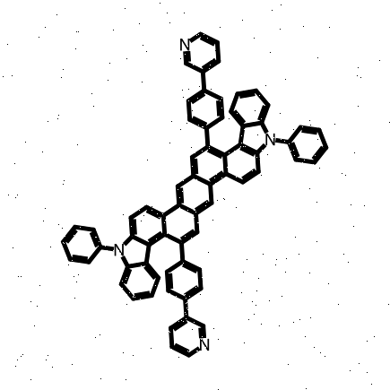 c1ccc(-n2c3ccccc3c3c4c(-c5ccc(-c6cccnc6)cc5)cc5cc6c(cc(-c7ccc(-c8cccnc8)cc7)c7c6ccc6c7c7ccccc7n6-c6ccccc6)cc5c4ccc32)cc1